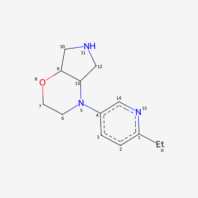 CCc1ccc(N2CCOC3CNCC32)cn1